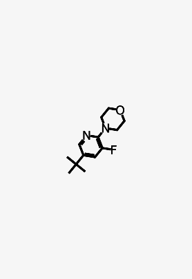 CC(C)(C)c1cnc(N2CCOCC2)c(F)c1